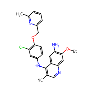 CCOc1cc2ncc(C#N)c(Nc3ccc(OCc4cccc(C)n4)c(Cl)c3)c2cc1N